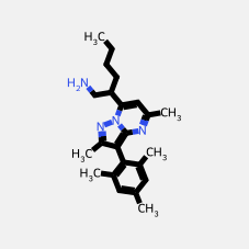 CCCCC(CN)c1cc(C)nc2c(-c3c(C)cc(C)cc3C)c(C)nn12